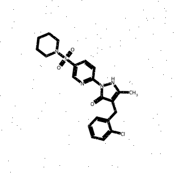 Cc1[nH]n(-c2ccc(S(=O)(=O)N3CCCCC3)cn2)c(=O)c1Cc1ccccc1Cl